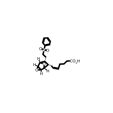 O=C(O)CCC/C=C\C[C@H]1[C@@H](CCS(=O)(=O)c2ccccc2)[C@@H]2O[C@H]1[C@@H]1O[C@@H]12